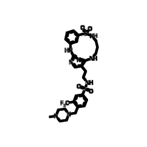 CN1CCN(Cc2ccc(S(=O)(=O)NCCc3cnc4nc3NCCCNS(=O)(=O)c3cccc(c3)N4)cc2C(F)(F)F)CC1